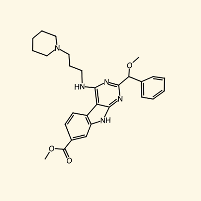 COC(=O)c1ccc2c(c1)[nH]c1nc(C(OC)c3ccccc3)nc(NCCCN3CCCCC3)c12